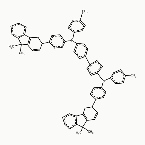 Cc1ccc(N(c2ccc(-c3ccc(N(c4ccc(C)cc4)c4ccc(C5C=CC6=C(C5)c5ccccc5C6(C)C)cc4)cc3)cc2)c2ccc(C3C=CC4=C(C3)c3ccccc3C4(C)C)cc2)cc1